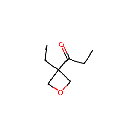 CCC(=O)C1(CC)COC1